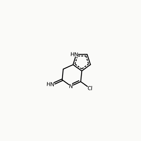 N=C1Cc2[nH]ccc2C(Cl)=N1